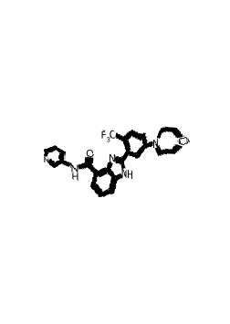 O=C(Nc1cccnc1)c1cccc2[nH]c(-c3cc(N4CCOCC4)ccc3C(F)(F)F)nc12